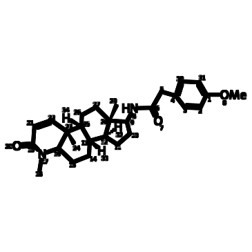 COc1ccc(CC(=O)NC2CC[C@H]3[C@@H]4CCC5N(C)C(=O)C=C[C@]5(C)[C@@H]4CC[C@]23C)cc1